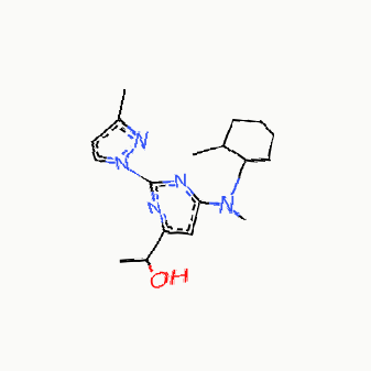 Cc1ccn(-c2nc(C(C)O)cc(N(C)C3CCCCC3C)n2)n1